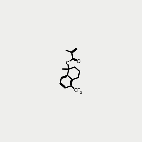 C=C(C)C(=O)OC1(C)CCCc2c(C(F)(F)F)cccc21